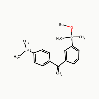 C=C(c1ccc([SiH](C)C)cc1)c1cccc([Si](C)(C)OCC)c1